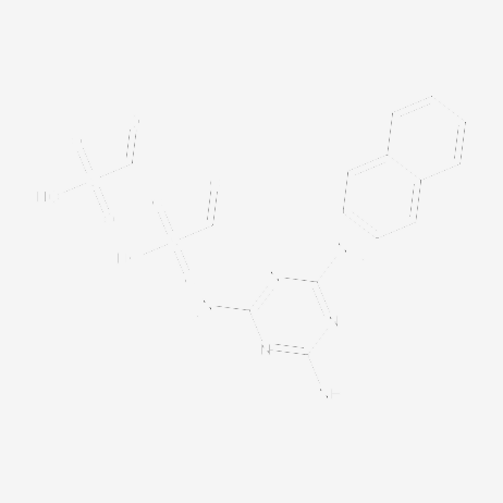 Nc1nc(N)nc(N)n1.O=CS(=O)(=O)O.O=CS(=O)(=O)O.c1ccc2ccccc2c1